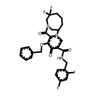 O=C(NCc1ccc(F)cc1F)c1cn2c(c(OCc3ccccc3)c1=O)C(=O)N1CC2CCCC(F)(F)C1